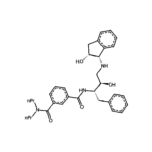 CCCN(CCC)C(=O)c1cccc(C(=O)N[C@@H](Cc2ccccc2)[C@H](O)CN[C@H]2c3ccccc3C[C@H]2O)c1